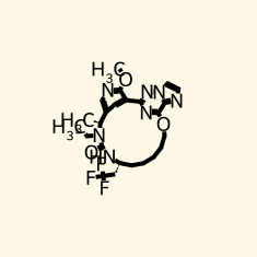 CCN1C(=O)N[C@@H](CC(F)(F)F)CCCCCOc2nc(nn3ccnc23)-c2cc(cnc2OC)[C@H]1C